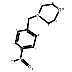 O=S(O)c1ccc(CN2CCOCC2)cc1